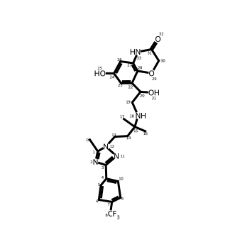 Cc1nc(-c2ccc(C(F)(F)F)cc2)nn1CCC(C)(C)NCC(O)c1cc(O)cc2c1OCC(=O)N2